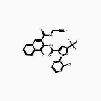 C#CCNC(=O)c1cc2ccccc2c(Cl)c1NC(=O)c1cc(C(F)(F)F)nn1-c1ncccc1Cl